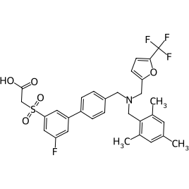 Cc1cc(C)c(CN(Cc2ccc(-c3cc(F)cc(S(=O)(=O)CC(=O)O)c3)cc2)Cc2ccc(C(F)(F)F)o2)c(C)c1